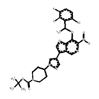 CC(Oc1c([N+](=O)[O-])ncc2c(-c3cnn(C4CCN(C(=O)OC(C)(C)C)CC4)c3)coc12)c1c(Cl)ccc(F)c1Cl